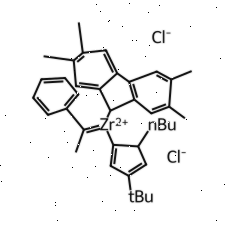 CCCCC1C=C(C(C)(C)C)C=[C]1/[Zr+2](=[C](\C)c1ccccc1)[CH]1c2cc(C)c(C)cc2-c2cc(C)c(C)cc21.[Cl-].[Cl-]